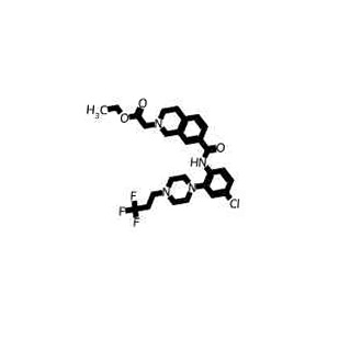 CCOC(=O)CN1CCc2ccc(C(=O)Nc3ccc(Cl)cc3N3CCN(CCC(F)(F)F)CC3)cc2C1